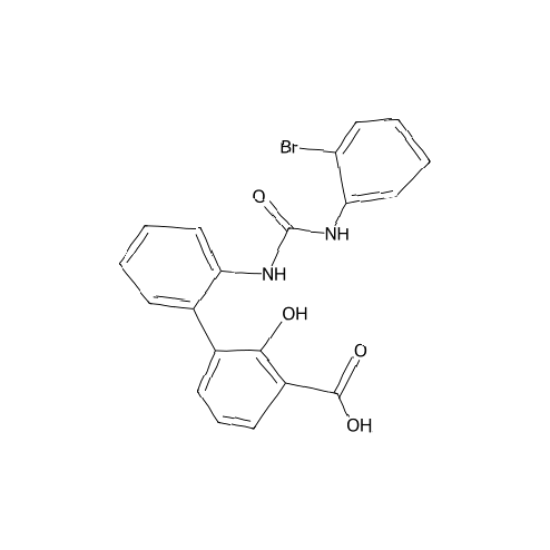 O=C(Nc1ccccc1Br)Nc1ccccc1-c1cccc(C(=O)O)c1O